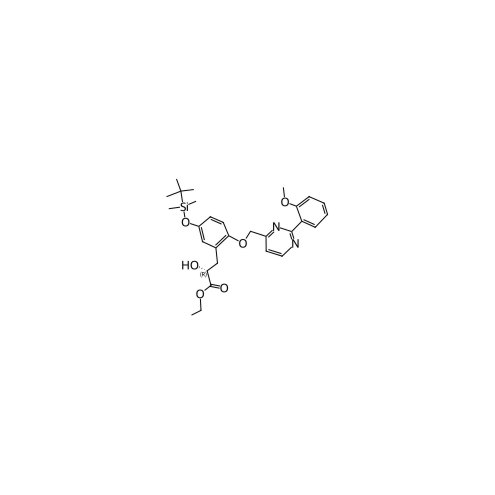 CCOC(=O)[C@H](O)Cc1cc(O[Si](C)(C)C(C)(C)C)ccc1OCc1ccnc(-c2ccccc2OC)n1